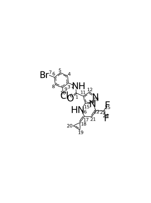 O=C(Nc1ccc(Br)cc1Cl)c1cnn2c1NC(=C1C=C1)C=C2C(F)F